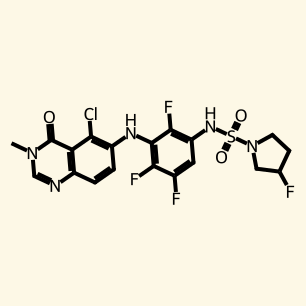 Cn1cnc2ccc(Nc3c(F)c(F)cc(NS(=O)(=O)N4CCC(F)C4)c3F)c(Cl)c2c1=O